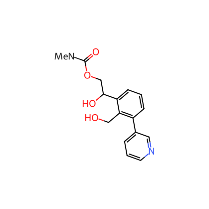 CNC(=O)OCC(O)c1cccc(-c2cccnc2)c1CO